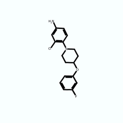 Nc1ccc(N2CCC(Oc3cccc(F)c3)CC2)c(Cl)c1